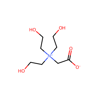 O=C([O-])C[N+](CCO)(CCO)CCO